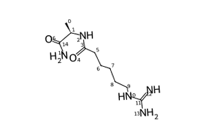 C[C@@H](NC(=O)CCCCCNC(=N)N)C(N)=O